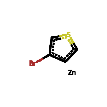 Brc1ccsc1.[Zn]